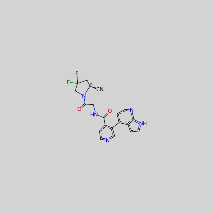 N#C[C@@H]1CC(F)(F)CN1C(=O)CNC(=O)c1ccncc1-c1ccnc2[nH]ccc12